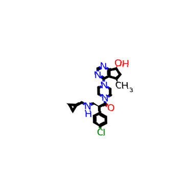 C[C@@H]1C[C@@H](O)c2ncnc(N3CCN(C(=O)[C@H](CNCC4CC4)c4ccc(Cl)cc4)CC3)c21